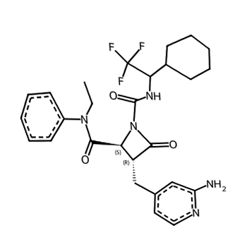 CCN(C(=O)[C@@H]1[C@@H](Cc2ccnc(N)c2)C(=O)N1C(=O)NC(C1CCCCC1)C(F)(F)F)c1ccccc1